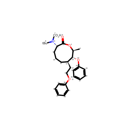 C[C@@H]1OC(=O)[C@@H](N(C(=O)O)C(C)(C)C)CCC[C@H](CCOc2ccccc2)[C@H]1Oc1ccccc1